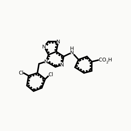 O=C(O)c1cccc(Nc2ncn(Cc3c(Cl)cccc3Cl)c3ncnc2-3)c1